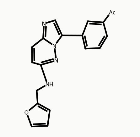 CC(=O)c1cccc(-c2cnc3ccc(NCc4ccco4)nn23)c1